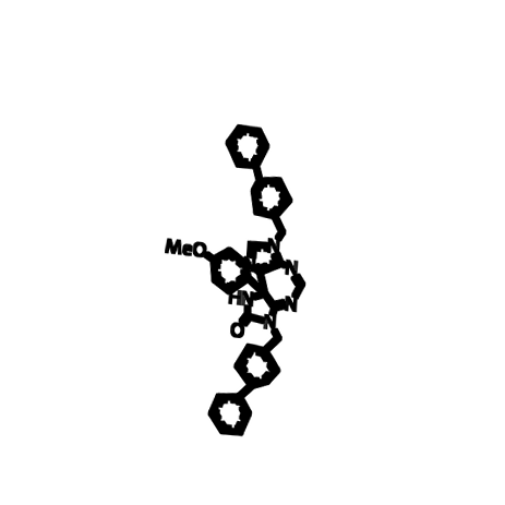 COc1ccc(C23NC(=O)N(Cc4ccc(-c5ccccc5)cc4)C2=NC=Nc2c3ncn2Cc2ccc(-c3ccccc3)cc2)cc1